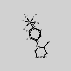 CC1CNCCN1c1ccc(S(F)(F)(F)(F)F)cn1